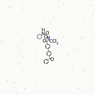 O=C(NC1CCCCC1)O/N=C(\C(=O)c1ccc(-c2ccc(C(=O)c3ccccc3)cc2)cc1)C(Cl)(Cl)Cl